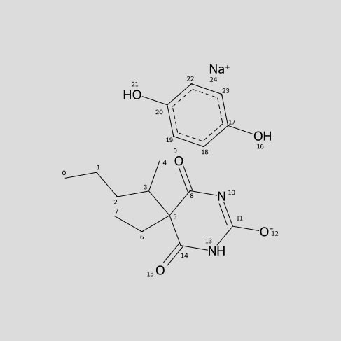 CCCC(C)C1(CC)C(=O)N=C([O-])NC1=O.Oc1ccc(O)cc1.[Na+]